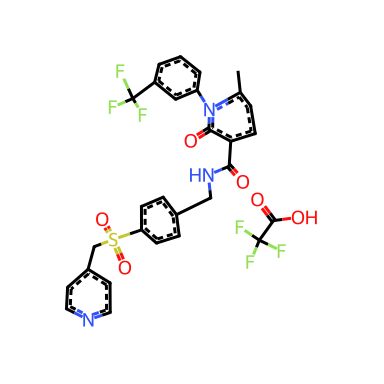 Cc1ccc(C(=O)NCc2ccc(S(=O)(=O)Cc3ccncc3)cc2)c(=O)n1-c1cccc(C(F)(F)F)c1.O=C(O)C(F)(F)F